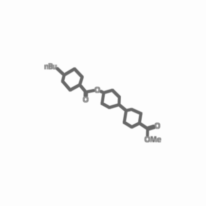 CCCCC1CCC(C(=O)OC2CCC(C3CCC(C(=O)OC)CC3)CC2)CC1